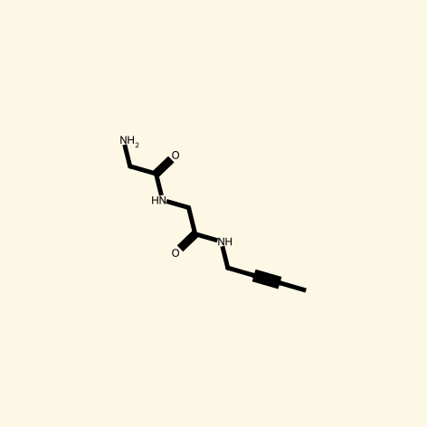 CC#CCNC(=O)CNC(=O)CN